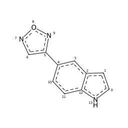 c1cc2cc(-c3cnon3)ccc2[nH]1